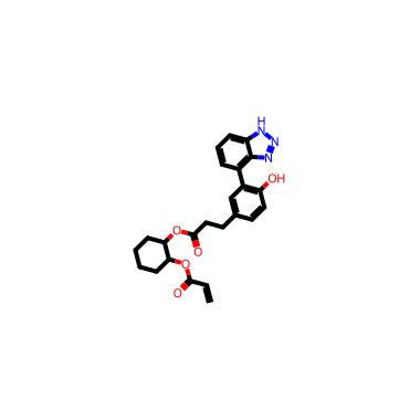 C=CC(=O)OC1CCCCC1OC(=O)CCc1ccc(O)c(-c2cccc3[nH]nnc23)c1